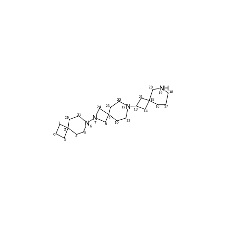 C1CC2(C1)CCN(N1CC3(CCN(C4CC5(CCCNC5)C4)CC3)C1)CC2